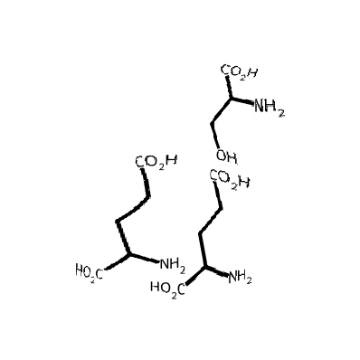 NC(CCC(=O)O)C(=O)O.NC(CCC(=O)O)C(=O)O.NC(CO)C(=O)O